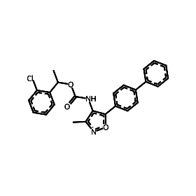 Cc1noc(-c2ccc(-c3ccccc3)cc2)c1NC(=O)OC(C)c1ccccc1Cl